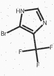 FC(F)(F)c1nc[nH]c1Br